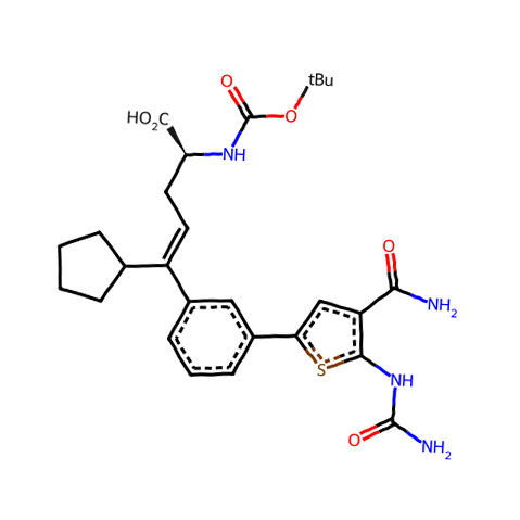 CC(C)(C)OC(=O)N[C@@H](C/C=C(/c1cccc(-c2cc(C(N)=O)c(NC(N)=O)s2)c1)C1CCCC1)C(=O)O